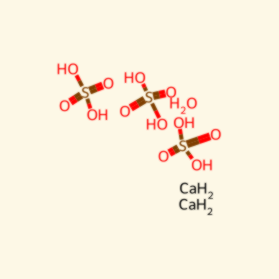 O.O=S(=O)(O)O.O=S(=O)(O)O.O=S(=O)(O)O.[CaH2].[CaH2]